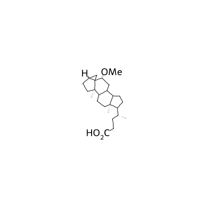 CO[C@@H]1CC2C3CCC([C@H](C)CCC(=O)O)[C@@]3(C)CCC2[C@@]2(C)CC[C@@H]3CC312